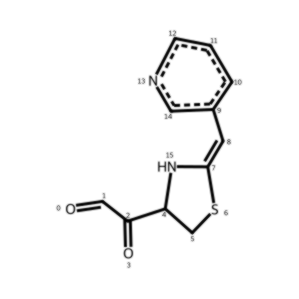 O=CC(=O)C1CSC(=Cc2cccnc2)N1